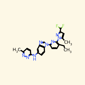 CCc1ccc(-n2cnc3cc(Nc4ccc(C)nn4)ccc32)nc1-n1nc(C(F)F)cc1C